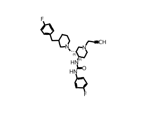 C#CCN1CC[C@@H](NC(=O)Nc2ccc(F)cc2)[C@H](CN2CCCC(Cc3ccc(F)cc3)C2)C1